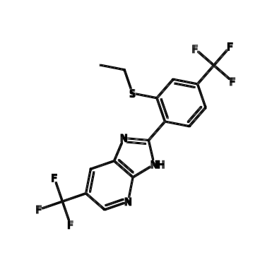 CCSc1cc(C(F)(F)F)ccc1-c1nc2cc(C(F)(F)F)cnc2[nH]1